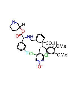 COc1ccc([C@H](Cc2c(Cl)c[n+]([O-])cc2Cl)C2(C(=O)O)C=CC=C(CNC(C(=O)O[C@H]3CN4CCC3CC4)c3cccc(F)c3)C2)cc1OC